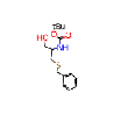 CC(C)(C)OC(=O)NC(CO)CSCc1ccccc1